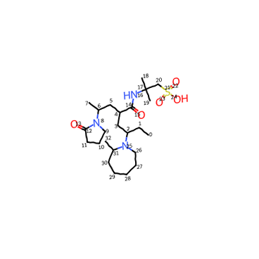 CCC(CC(CC(C)N1CCCC1=O)C(=O)NC(C)(C)CS(=O)(=O)O)N1CCCCCC1C